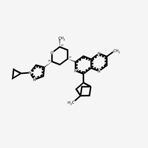 Cc1cnc2c(C3CC4(C)CC3C4)nc([C@H]3C[C@@H](C)O[C@@H](c4cnn(C5CC5)c4)C3)cc2n1